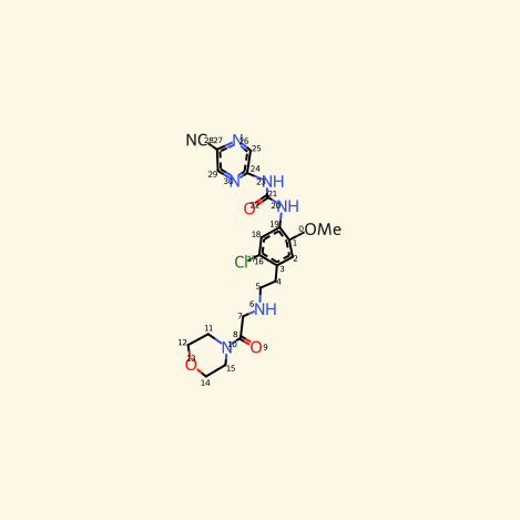 COc1cc(CCNCC(=O)N2CCOCC2)c(Cl)cc1NC(=O)Nc1cnc(C#N)cn1